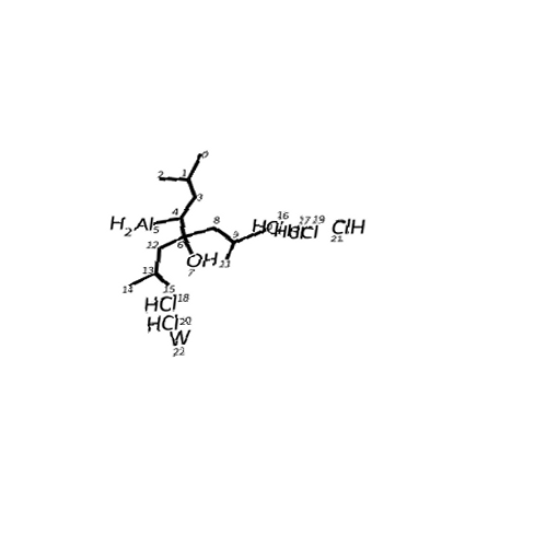 CC(C)C[CH]([AlH2])C(O)(CC(C)C)CC(C)C.Cl.Cl.Cl.Cl.Cl.Cl.[W]